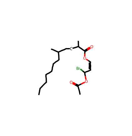 CCCCCCCC(C)CCC(C)C(=O)O/C=C\C(Br)OC(C)=O